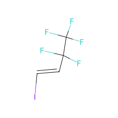 FC(F)(F)C(F)(F)C=CI